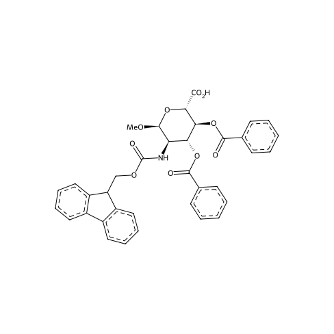 CO[C@H]1O[C@H](C(=O)O)[C@@H](OC(=O)c2ccccc2)[C@H](OC(=O)c2ccccc2)[C@H]1NC(=O)OCC1c2ccccc2-c2ccccc21